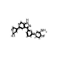 CCn1cc(-c2cc3c(-c4cccc(N5CC[C@H](F)[C@@H](N)C5)n4)n[nH]c3cn2)cn1